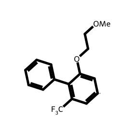 COCCOc1c[c]cc(C(F)(F)F)c1-c1ccccc1